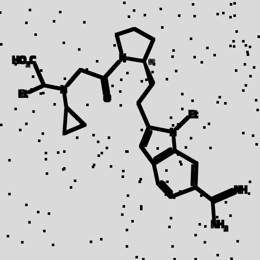 CCC(C(=O)O)N(CC(=O)N1CCC[C@H]1CCc1cc2ccc(C(=N)N)cc2n1CC)C1CC1